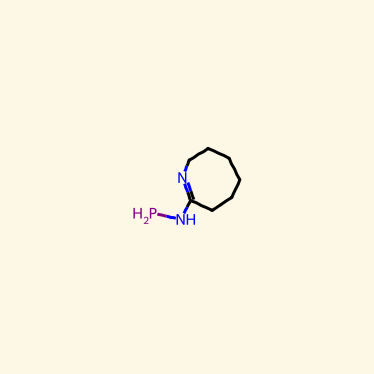 PN/C1=N/CCCCCC1